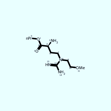 CCCOC(=O)[C@@H](N)CCN(CCOC)C(=N)N